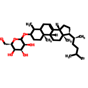 CC(C)C(C)CC[C@@H](C)[C@H]1CC[C@H]2C3=CCC4C(C)C(OC5O[C@@H](CO)[C@H](O)[C@@H](O)[C@@H]5O)CC[C@]4(C)[C@H]3CC[C@]12C